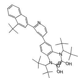 CC(C)(C)c1cc(-c2cc(-c3ccc(N(C(=O)O)C(C(C)(C)C)C(C)(C)C)c(N(C(=O)O)C(C(C)(C)C)C(C)(C)C)c3)ccn2)cc2ccccc12